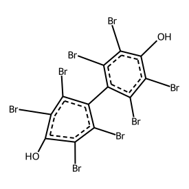 Oc1c(Br)c(Br)c(-c2c(Br)c(Br)c(O)c(Br)c2Br)c(Br)c1Br